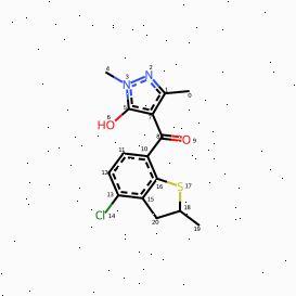 Cc1nn(C)c(O)c1C(=O)c1ccc(Cl)c2c1SC(C)C2